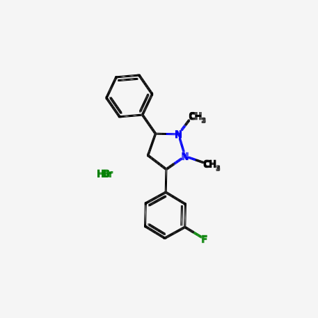 Br.CN1C(c2ccccc2)CC(c2cccc(F)c2)N1C